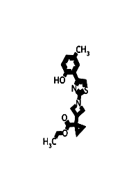 CCOC(=O)C1(C2CN(c3nc(-c4cc(C)ccc4O)cs3)C2)CC1